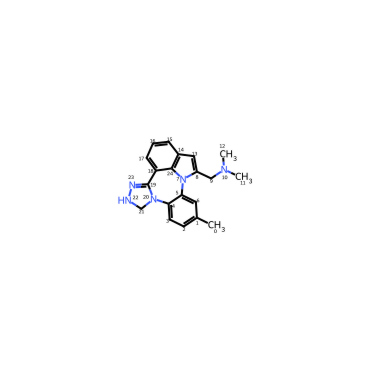 Cc1ccc2c(c1)n1c(CN(C)C)cc3cccc(c4n2CNN=4)c31